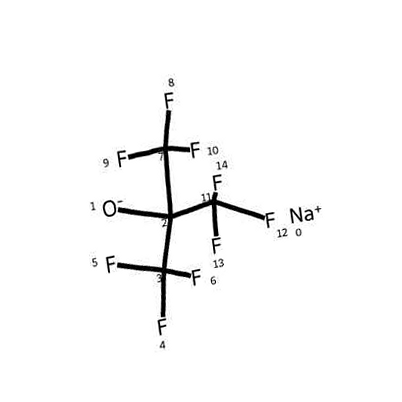 [Na+].[O-]C(C(F)(F)F)(C(F)(F)F)C(F)(F)F